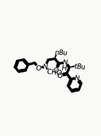 CCCC[C@H](CN(C=O)OCc1ccccc1)C(=O)N[C@H](C(=O)c1ccccn1)C(C)(C)C